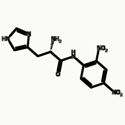 N[C@@H](Cc1c[nH]cn1)C(=O)Nc1ccc([N+](=O)[O-])cc1[N+](=O)[O-]